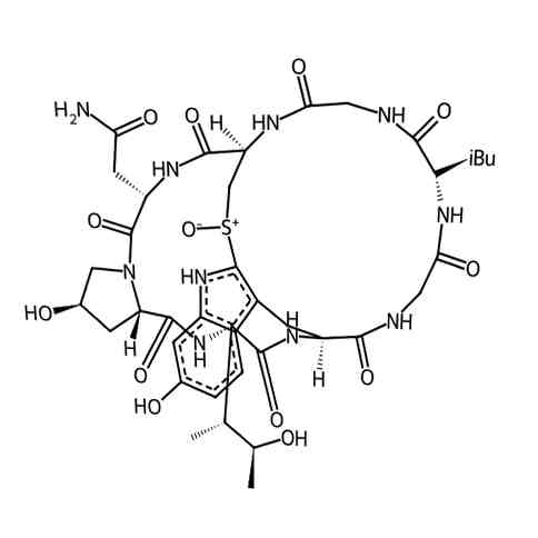 CC[C@H](C)[C@@H]1NC(=O)CNC(=O)[C@@H]2Cc3c([nH]c4cc(O)ccc34)[S+]([O-])C[C@H](NC(=O)CNC1=O)C(=O)N[C@@H](CC(N)=O)C(=O)N1C[C@H](O)C[C@H]1C(=O)N[C@@H]([C@@H](C)[C@H](C)O)C(=O)N2